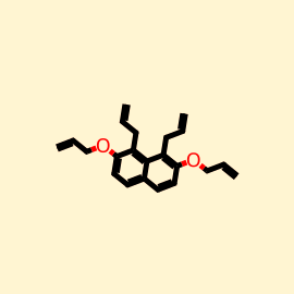 C=CCOc1ccc2ccc(OCC=C)c(CC=C)c2c1CC=C